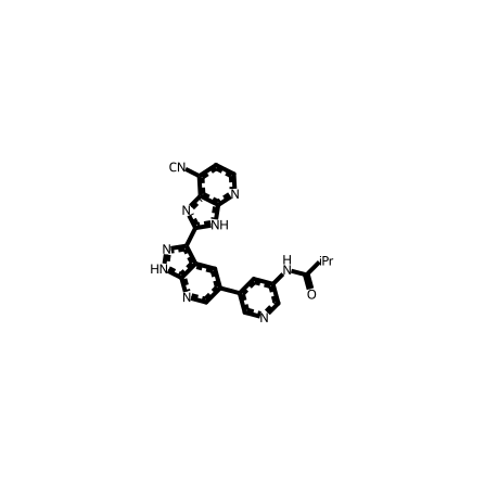 [C-]#[N+]c1ccnc2[nH]c(-c3n[nH]c4ncc(-c5cncc(NC(=O)C(C)C)c5)cc34)nc12